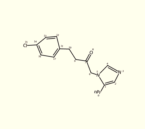 CCCc1cncn1CC(=O)CCc1ccc(Cl)cc1